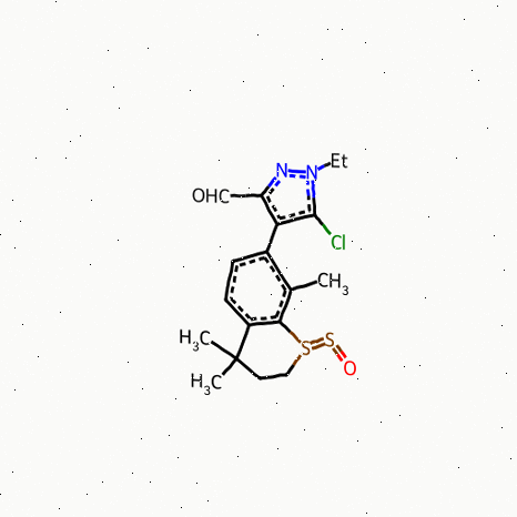 CCn1nc(C=O)c(-c2ccc3c(c2C)S(=S=O)CCC3(C)C)c1Cl